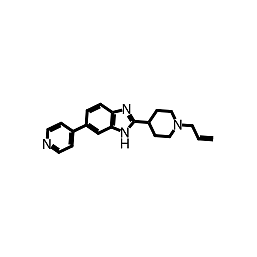 C=CCN1CCC(c2nc3ccc(-c4ccncc4)cc3[nH]2)CC1